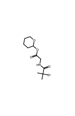 CCC(C)(C)C(=O)NCC(=O)OC1CCCCO1